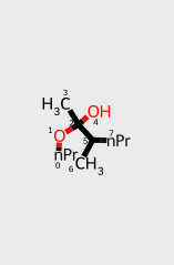 CCCOC(C)(O)C(C)CCC